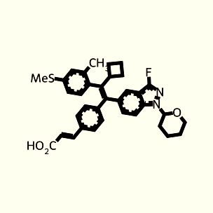 CSc1ccc(C(=C(c2ccc(C=CC(=O)O)cc2)c2ccc3c(c2)c(F)nn3C2CCCCO2)C2CCC2)c(C)c1